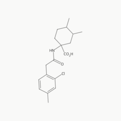 Cc1ccc(CC(=O)NC2(C(=O)O)CCC(C)C(C)C2)c(Cl)c1